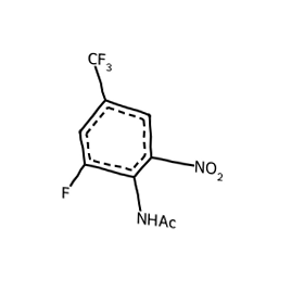 CC(=O)Nc1c(F)cc(C(F)(F)F)cc1[N+](=O)[O-]